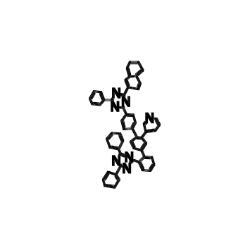 c1ccc(-c2nc(-c3ccc(-c4ccc(-c5ccccc5-c5nc(-c6ccccc6)nc(-c6ccccc6)n5)cc4-c4cccnc4)cc3)nc(-c3ccc4ccccc4c3)n2)cc1